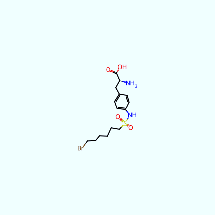 N[C@@H](Cc1ccc(NS(=O)(=O)CCCCCCBr)cc1)C(=O)O